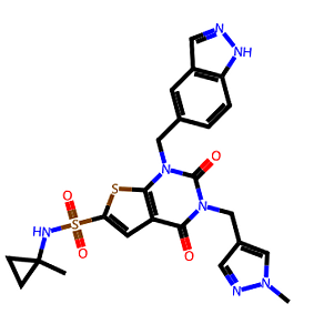 Cn1cc(Cn2c(=O)c3cc(S(=O)(=O)NC4(C)CC4)sc3n(Cc3ccc4[nH]ncc4c3)c2=O)cn1